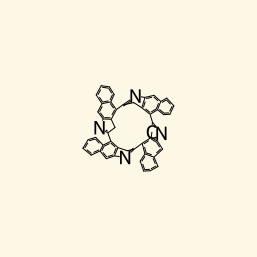 c1ccc2c3c4c(cc2c1)N=C(C4)c1c2c(cc4ccccc14)N=C(C2)c1c2c(cc4ccccc14)N=C(C2)c1c2c(cc4ccccc14)N=C3C2